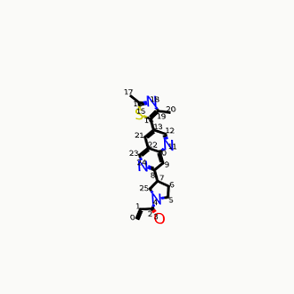 C=CC(=O)N1CCC(c2cc3ncc(-c4sc(C)nc4C)cc3cn2)C1